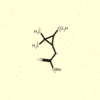 COC(=O)CC1C(C(=O)O)C1(C)C